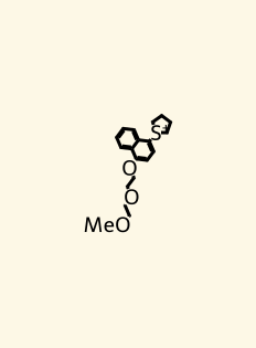 COCCOCCOc1ccc([S+]2CCCC2)c2ccccc12